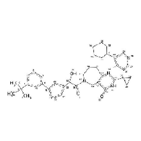 CC(C)(C)c1cccc(-c2cccc(C(O)C(=O)N3CCCc4nc(C5(c6cncc(C7CCCCC7)c6)CC5)[nH]c(=O)c4C3)c2)c1